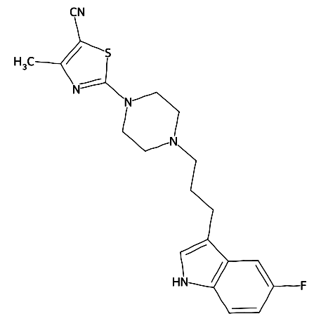 Cc1nc(N2CCN(CCCc3c[nH]c4ccc(F)cc34)CC2)sc1C#N